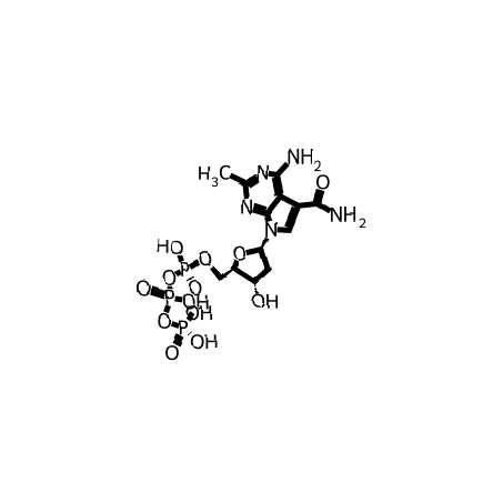 Cc1nc(N)c2c(C(N)=O)cn([C@H]3C[C@H](O)[C@@H](COP(=O)(O)OP(=O)(O)OP(=O)(O)O)O3)c2n1